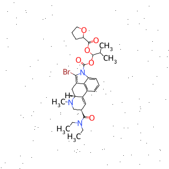 CCN(CC)C(=O)[C@@H]1C=C2c3cccc4c3c(c(Br)n4C(=O)OC(OC(=O)C3CCCO3)C(C)C)C[C@H]2N(C)C1